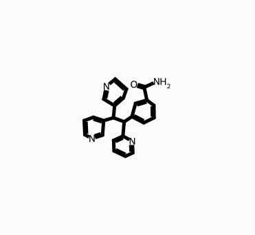 NC(=O)c1cccc(C(c2ccccn2)C(c2cccnc2)c2cccnc2)c1